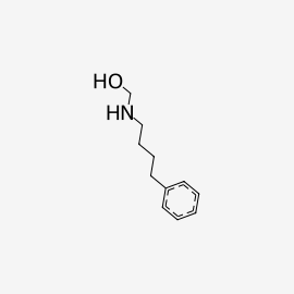 OCNCCCCc1ccccc1